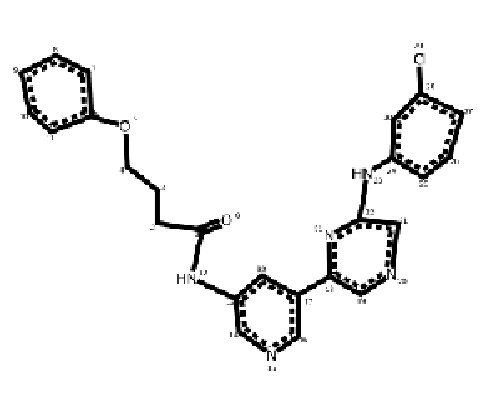 O=C(CCCOc1ccccc1)Nc1cncc(-c2cncc(Nc3cccc(Cl)c3)n2)c1